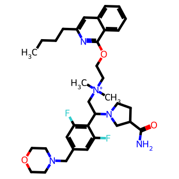 CCCCc1cc2ccccc2c(OCC[N+](C)(C)CC(c2c(F)cc(CN3CCOCC3)cc2F)N2CCC(C(N)=O)C2)n1